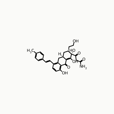 Cc1ccc(/C=C/c2ccc(O)c3c2C[C@H]2C[C@@H](CCO)[C@@](O)(C(=O)CC(N)=O)C(O)=C2C3=O)cc1